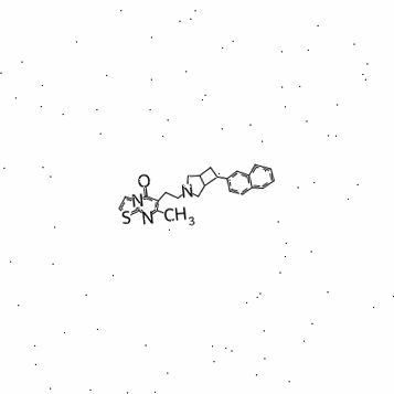 Cc1nc2sccn2c(=O)c1CCN1CC2CC(c3ccc4ccccc4c3)C2C1